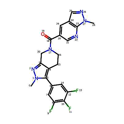 Cn1nc2c(c1-c1cc(F)c(F)c(F)c1)CCN(C(=O)c1cnc3c(cnn3C)c1)C2